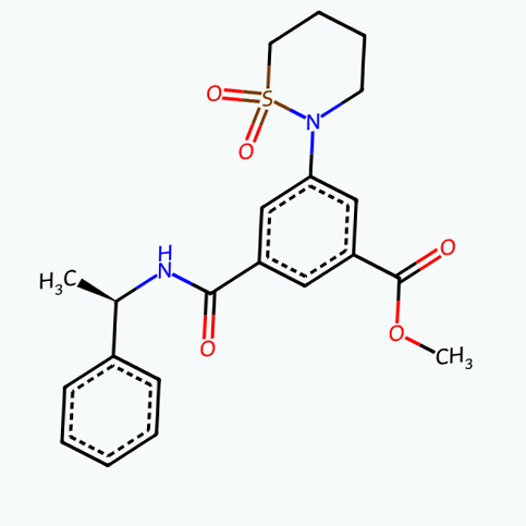 COC(=O)c1cc(C(=O)N[C@H](C)c2ccccc2)cc(N2CCCCS2(=O)=O)c1